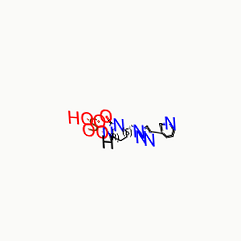 O=C1N2C[C@@H](CC[C@H]2Cn2cc(-c3cccnc3)nn2)N1OS(=O)(=O)O